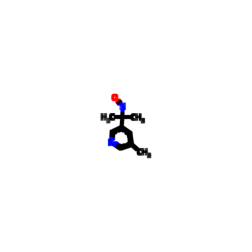 Cc1cncc(C(C)(C)N=O)c1